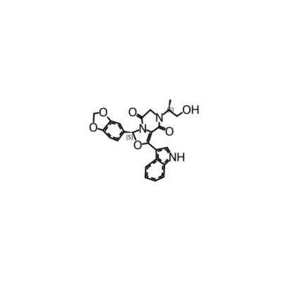 C[C@@H](CO)N1CC(=O)N2C(=C(c3c[nH]c4ccccc34)O[C@H]2c2ccc3c(c2)OCO3)C1=O